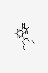 CCCCN(CCCC)c1nc(C)nc2[nH]c(C)nc12